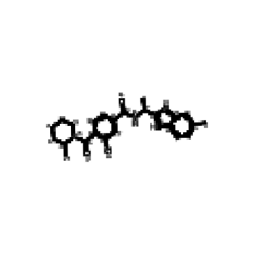 Cc1ccc2[nH]c(C(C)NC(=O)c3ccc(C(=O)N4CCCCC4C)c(Cl)c3)nc2c1